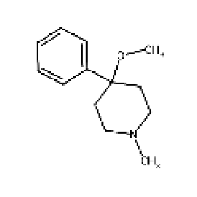 COC1(c2cc[c]cc2)CCN(C)CC1